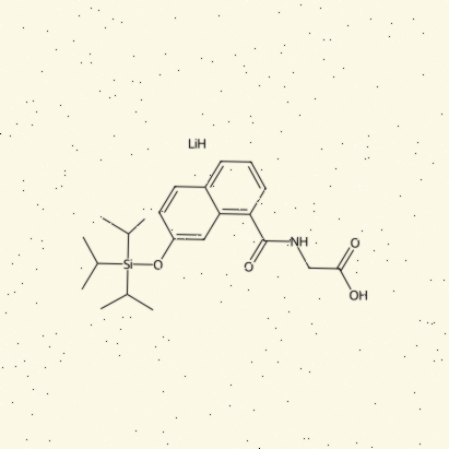 CC(C)[Si](Oc1ccc2cccc(C(=O)NCC(=O)O)c2c1)(C(C)C)C(C)C.[LiH]